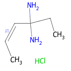 C/C=C\C(N)(N)CC.Cl